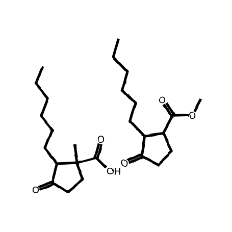 CCCCCCC1C(=O)CCC1(C)C(=O)O.CCCCCCC1C(=O)CCC1C(=O)OC